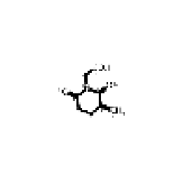 C=C1CCC(=O)N(CC(=O)O)C1=O